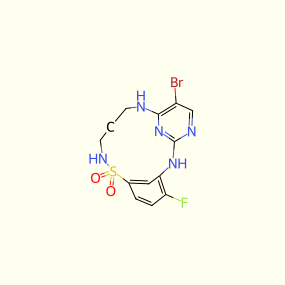 O=S1(=O)NCCCNc2nc(ncc2Br)Nc2cc1ccc2F